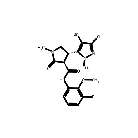 COc1c(F)cccc1NC(=O)[C@H]1C(=S)N(C)C[C@@H]1c1c(Br)c(Cl)nn1C